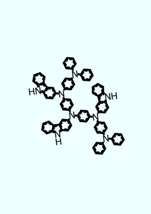 c1ccc(N(c2ccccc2)c2ccc(N(c3ccc(N(c4ccc(N(c5ccc(N(c6ccccc6)c6ccccc6)cc5)c5ccc6[nH]c7ccccc7c6c5)cc4)c4ccc5[nH]c6ccccc6c5c4)cc3)c3ccc4[nH]c5ccccc5c4c3)cc2)cc1